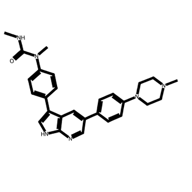 CNC(=O)N(C)c1ccc(-c2c[nH]c3ncc(-c4ccc(N5CCN(C)CC5)cc4)cc23)cc1